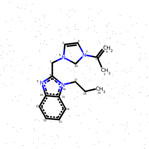 C=C(C)N1C=CN(Cc2nc3ccccc3n2CCC)C1